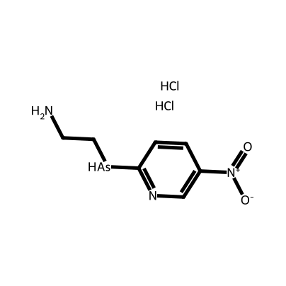 Cl.Cl.NCC[AsH]c1ccc([N+](=O)[O-])cn1